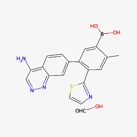 Cc1cc(-c2nccs2)c(-c2ccc3c(N)cnnc3c2)cc1B(O)O.O=CO